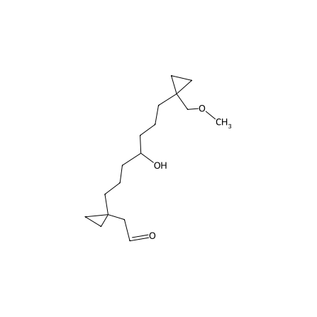 COCC1(CCCC(O)CCCC2(CC=O)CC2)CC1